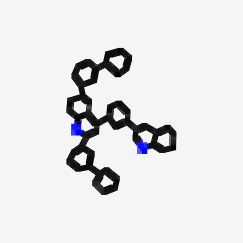 c1ccc(-c2cccc(-c3ccc4nc(-c5cccc(-c6ccccc6)c5)cc(-c5cccc(-c6cnc7ccccc7c6)c5)c4c3)c2)cc1